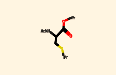 CC(=O)NC(CSC(C)C)C(=O)OC(C)C